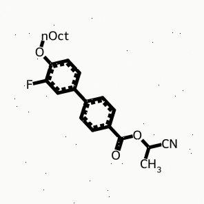 CCCCCCCCOc1ccc(-c2ccc(C(=O)OC(C)C#N)cc2)cc1F